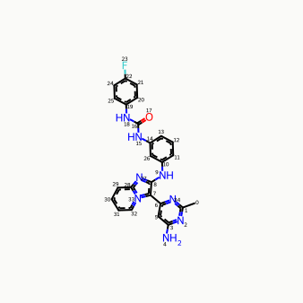 Cc1nc(N)cc(-c2c(Nc3cccc(NC(=O)Nc4ccc(F)cc4)c3)nc3ccccn23)n1